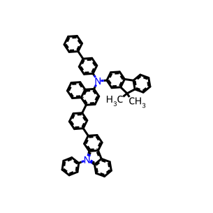 CC1(C)c2ccccc2-c2ccc(N(c3ccc(-c4ccccc4)cc3)c3ccc(-c4cccc(-c5ccc6c7ccccc7n(-c7ccccc7)c6c5)c4)c4ccccc34)cc21